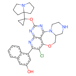 Oc1cc(-c2nc3nc(OC4(C56CCCN5CCC6)CC4)nc4c3c(c2Cl)OCC2CNCCN42)c2ccccc2c1